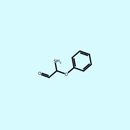 O=[C]C([SiH3])Oc1ccccc1